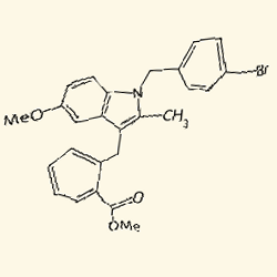 COC(=O)c1ccccc1Cc1c(C)n(Cc2ccc(Br)cc2)c2ccc(OC)cc12